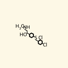 CNCCC(O)c1ccc(SCc2ccc(Cl)cc2Cl)cc1